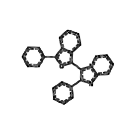 c1ccc(-c2nc3ccccn3c2-c2oc(-c3ccccc3)c3ccccc23)cc1